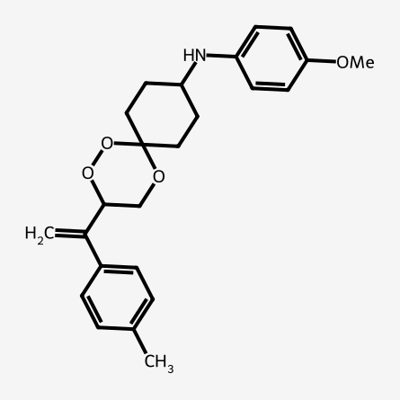 C=C(c1ccc(C)cc1)C1COC2(CCC(Nc3ccc(OC)cc3)CC2)OO1